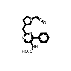 O=C=CN1CCC(Cc2ncc(NC(=O)O)c(-c3ccccc3)n2)C1